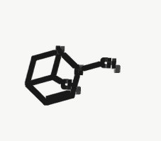 CC1C2C=CN(C)N1C2